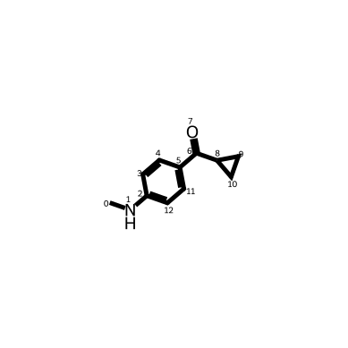 CNc1ccc(C(=O)C2CC2)cc1